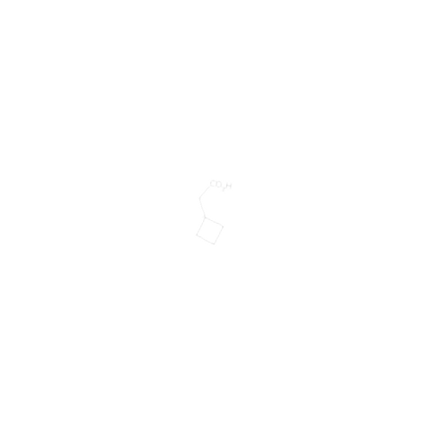 O=C(O)C[C]1CCC1